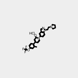 Cc1cc(OC(F)(F)F)ccc1-c1ccn(-c2ccc3c(cnn3CCN3CCCC3)c2)c(=O)c1.Cl